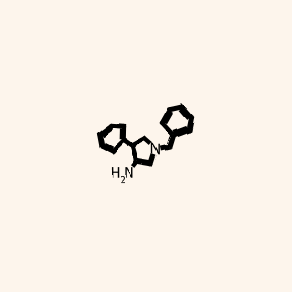 NC1CN(Cc2ccccc2)CC1c1ccccc1